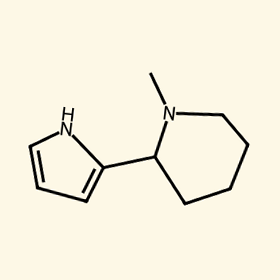 CN1CCCCC1c1ccc[nH]1